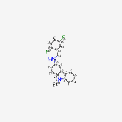 CCn1c2ccccc2c2cc(NCc3cc(F)ccc3F)ccc21